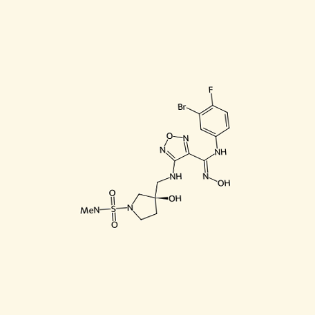 CNS(=O)(=O)N1CC[C@@](O)(CNc2nonc2/C(=N/O)Nc2ccc(F)c(Br)c2)C1